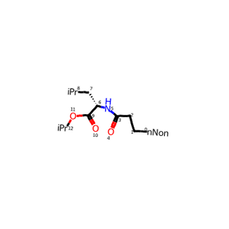 CCCCCCCCCCCC(=O)N[C@@H](CC(C)C)C(=O)OC(C)C